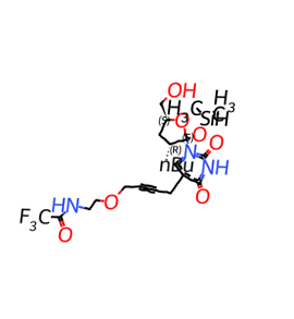 CCCC[C@@H]1C[C@@H](CO)O[C@@]1(O[SiH](C)C)n1cc(CC#CCOCCNC(=O)C(F)(F)F)c(=O)[nH]c1=O